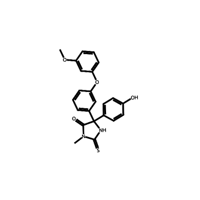 COc1cccc(Oc2cccc(C3(c4ccc(O)cc4)NC(=S)N(C)C3=O)c2)c1